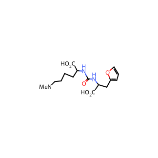 CNCCCCC(NC(=O)NC(Cc1ccco1)C(=O)O)C(=O)O